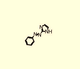 c1ccc(N=Nc2ncc[nH]2)cc1